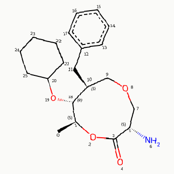 C[C@@H]1OC(=O)[C@@H](N)COC[C@H](Cc2ccccc2)[C@H]1OC1CCCCC1